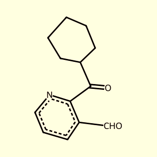 O=Cc1cccnc1C(=O)C1CCCCC1